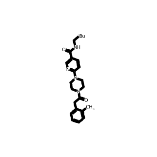 CCC(C)CNC(=O)c1ccc(N2CCN(C(=O)Cc3ccccc3C)CC2)nc1